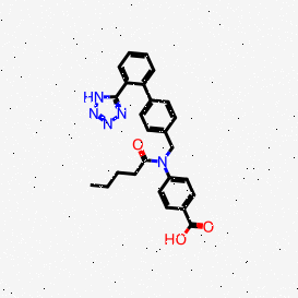 CCCCC(=O)N(Cc1ccc(-c2ccccc2-c2nnn[nH]2)cc1)c1ccc(C(=O)O)cc1